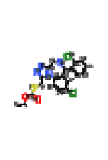 CCOC(=O)SCc1nnc2n1-c1ccc(Cl)cc1C(c1ccccc1Cl)=NC2